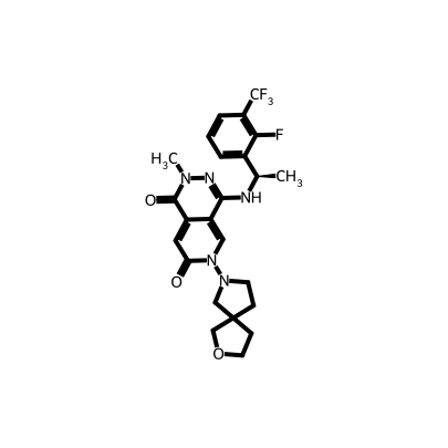 C[C@@H](Nc1nn(C)c(=O)c2cc(=O)n(N3CCC4(CCOC4)C3)cc12)c1cccc(C(F)(F)F)c1F